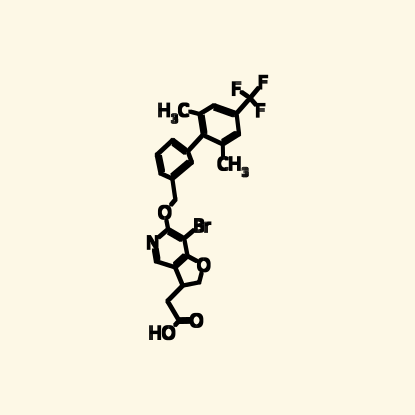 Cc1cc(C(F)(F)F)cc(C)c1-c1cccc(COc2ncc3c(c2Br)OCC3CC(=O)O)c1